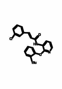 CC(C)(C)c1ccccc1Oc1ncccc1NC(=O)/C=C/c1cccc(Cl)c1